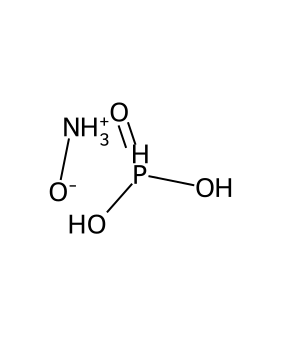 O=[PH](O)O.[NH3+][O-]